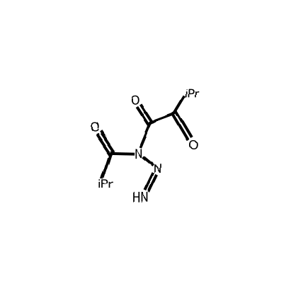 CC(C)C(=O)C(=O)N(N=N)C(=O)C(C)C